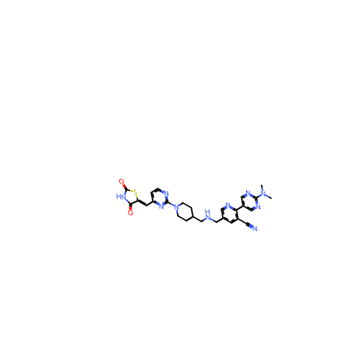 CN(C)c1ncc(-c2ncc(CNCC3CCN(c4nccc(/C=C5\SC(=O)NC5=O)n4)CC3)cc2C#N)cn1